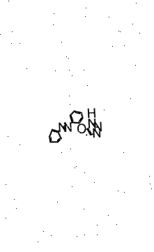 [c]1nn[nH]c1Oc1ccccc1N=Nc1ccccc1